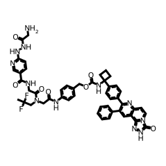 CC(F)(F)CN(CC(=O)Nc1ccc(COC(=O)NC2(c3ccc(-c4nc5ccn6c(=O)[nH]nc6c5cc4-c4ccccc4)cc3)CCC2)cc1)C(=O)CNC(=O)c1ccc(NNC(=O)CN)nc1